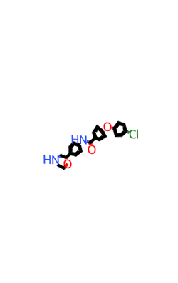 O=C(Nc1ccc(C2CNCCO2)cc1)c1ccc(Oc2ccc(Cl)cc2)cc1